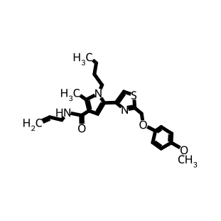 C=CCNC(=O)c1cc(-c2csc(COc3ccc(OC)cc3)n2)n(CCCC)c1C